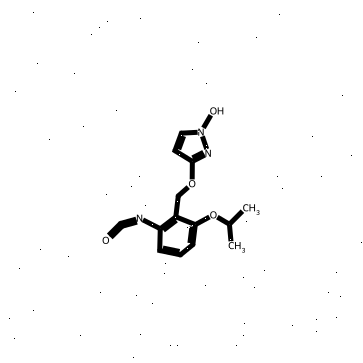 CC(C)Oc1cccc(N=C=O)c1COc1ccn(O)n1